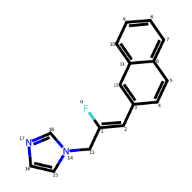 FC(=Cc1ccc2ccccc2c1)Cn1ccnc1